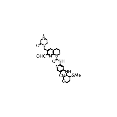 CSC1CCOCC1Nc1cc(NC(=O)N2CCCc3cc(CN4CCN(C)CC4=O)c(C=O)nc32)ncc1C#N